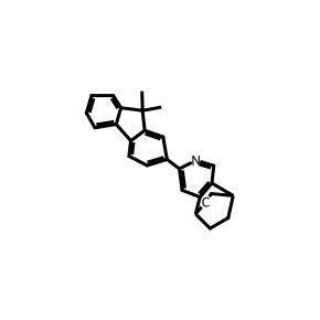 CC1(C)c2ccccc2-c2ccc(-c3cc4c(cn3)C3CCC4CC3)cc21